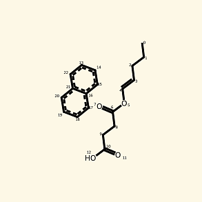 CCCC=COC(=O)CCC(=O)O.c1ccc2ccccc2c1